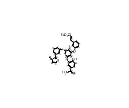 CCOC(=O)/C=C/c1cccc(Oc2c(F)c(Oc3cccc(-c4nccn4C)c3)nc(Oc3cc(C(=N)N)ccc3O)c2F)c1